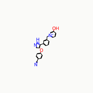 N#Cc1ccc(Oc2cn[nH]c2-c2cccc(C[n+]3cccc(O)c3)c2)cc1